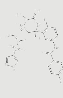 CCN(C[C@H]1[C@@](C)(c2cc(NC(=O)c3ccc(F)cn3)ccc2F)NC(=N)N(C)S1(=O)=O)S(=O)(=O)c1cn[nH]c1